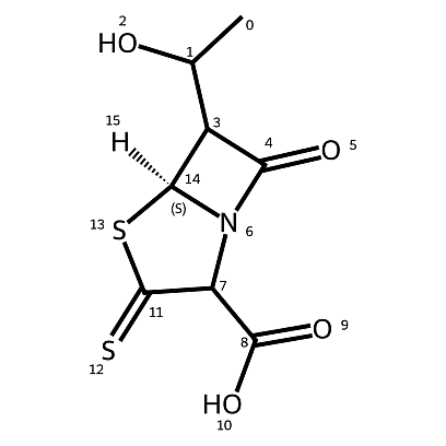 CC(O)C1C(=O)N2C(C(=O)O)C(=S)S[C@@H]12